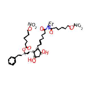 CCN(C(=O)CCCC=CC[C@@H]1[C@@H](C=C[C@H](CCc2ccccc2)OC(=O)CCCCCO[N+](=O)[O-])[C@H](O)C[C@@H]1O)C(=O)CCCCCO[N+](=O)[O-]